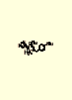 CCCCN(CC(C)Cc1ccc(C(C)(C)C)cc1)C(=O)n1cncn1